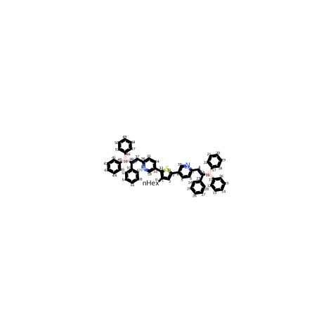 CCCCCCc1cc(-c2ccc(/C=C(/B(c3ccccc3)c3ccccc3)c3ccccc3)nc2)sc1-c1ccc(/C=C(/B(c2ccccc2)c2ccccc2)c2ccccc2)nc1